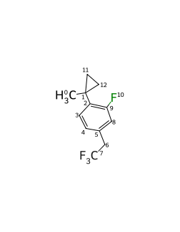 CC1(c2ccc(CC(F)(F)F)cc2F)CC1